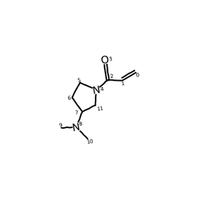 C=CC(=O)N1CCC(N(C)C)C1